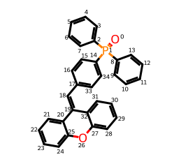 O=P(c1ccccc1)(c1ccccc1)c1ccc(C=C2c3ccccc3Oc3ccccc32)cc1